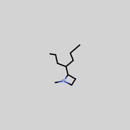 CCCC(CCC)C1CCN1C